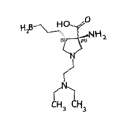 BCCC[C@H]1CN(CCN(CC)CC)C[C@@]1(N)C(=O)O